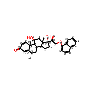 C[C@H]1CC2C([C@@H](O)CC3(C)C2CC[C@]3(O)C(=O)COc2cccc3ccccc23)C2(C)C=CC(=O)C=C12